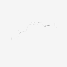 C=C[CH2][Mg][CH2]CCC